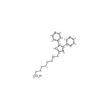 O=C(O)CCCCCCOCc1nc(-c2ccccc2)c(-c2ccccc2)o1